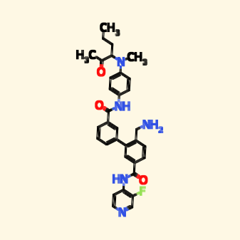 CCCC(C(C)=O)N(C)c1ccc(NC(=O)c2cccc(-c3cc(C(=O)Nc4ccncc4F)ccc3CN)c2)cc1